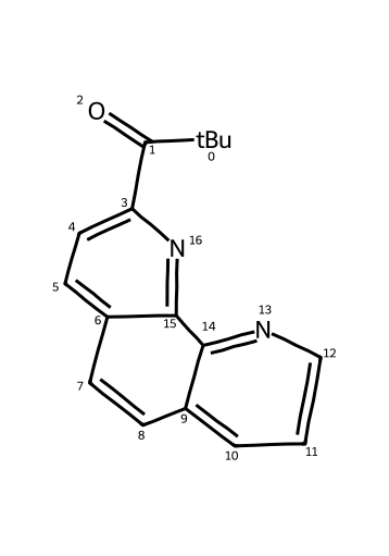 CC(C)(C)C(=O)c1ccc2ccc3cccnc3c2n1